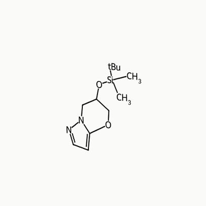 CC(C)(C)[Si](C)(C)OC1COc2ccnn2C1